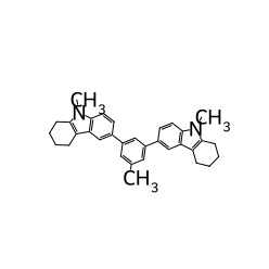 Cc1cc(-c2ccc3c(c2)c2c(n3C)CCCC2)cc(-c2ccc3c(c2)c2c(n3C)CCCC2)c1